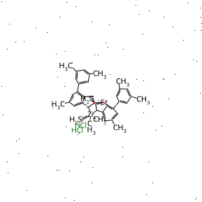 CCC1=Cc2c(-c3cc(C)cc(C)c3)cc(C)cc2[CH]1[Zr]([CH3])([CH3])(=[SiH2])[CH]1C(C)=Cc2c(-c3cc(C)cc(C)c3)cc(C)cc21.Cl.Cl